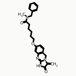 C=c1c(=O)[nH]c2n1Cc1ccc(OCCCCCC(=O)N(C)Cc3ccccc3)cc1N=2